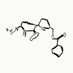 Nc1ccn(C2CC[C@@H](COC(=O)c3ccccc3)S2)c(=O)n1